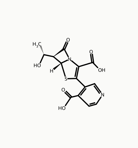 C[C@@H](O)[C@H]1C(=O)N2C(C(=O)O)=C(c3cnccc3C(=O)O)S[C@H]12